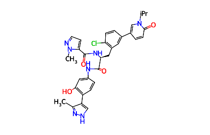 Cc1n[nH]cc1-c1ccc(NC(=O)[C@H](Cc2cc(-c3ccc(=O)n(C(C)C)c3)ccc2Cl)NC(=O)c2ccnn2C)cc1O